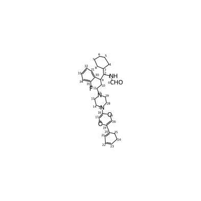 O=CNC(C1CCCCC1)C(CCN1CCN(C2=COC(C3=CC=CCC3)=CO2)CC1)c1ccccc1F